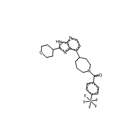 O=C(c1ccc(S(F)(F)(F)(F)F)cc1)N1CCCC(c2ccnc3[nH]c(C4CCOCC4)nc23)CC1